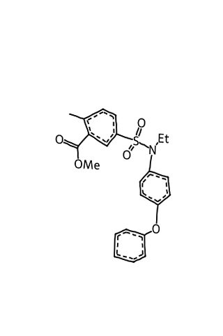 CCN(c1ccc(Oc2ccccc2)cc1)S(=O)(=O)c1ccc(C)c(C(=O)OC)c1